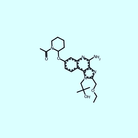 CCOCc1nc2c(N)nc3cc(OC4CCCCN4C(C)=O)ccc3c2n1CC(C)(C)O